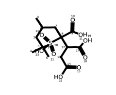 CC(CC(C)(C)C)CC(C(=O)O)(C(CC(=O)O)C(=O)O)S(=O)(=O)O